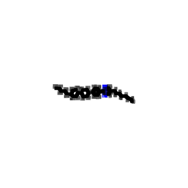 CCCCCCCCc1cnc(-c2ccc([C@H]3CC[C@H]([C@H]4CC[C@H](CCCCC)CC4)CC3)cc2)nc1